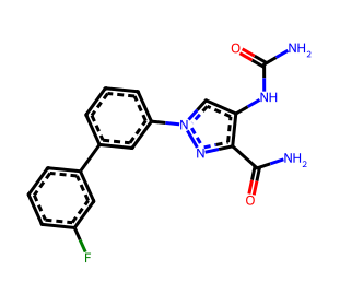 NC(=O)Nc1cn(-c2cccc(-c3cccc(F)c3)c2)nc1C(N)=O